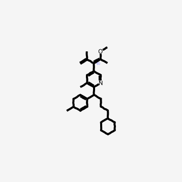 C=C(C)/C(=C(/C)OC)c1cnc(C(CCCC2CCCCC2)C2=CCC(C)C=C2)c(C)c1